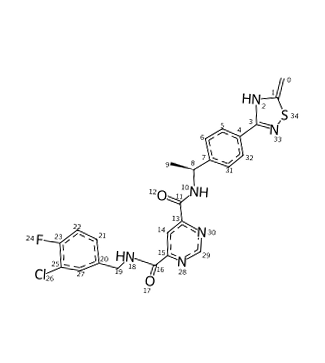 C=C1NC(c2ccc([C@H](C)NC(=O)c3cc(C(=O)NCc4ccc(F)c(Cl)c4)ncn3)cc2)=NS1